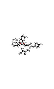 COc1ccc(C)cc1N(C(=O)O)C1CC2CCCC(C1)N2CCCCCCNCc1ccc(I)cc1.O=C(O)C(=O)O